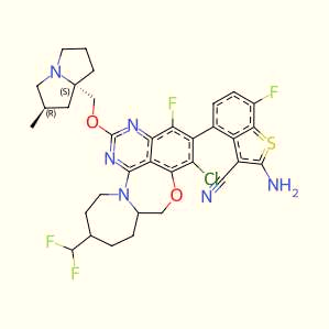 C[C@H]1CN2CCC[C@@]2(COc2nc3c4c(c(Cl)c(-c5ccc(F)c6sc(N)c(C#N)c56)c(F)c4n2)OCC2CCC(C(F)F)CCN32)C1